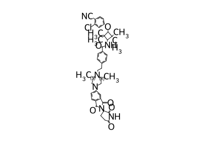 C[C@@H]1CN(c2ccc3c(c2)C(=O)N(C2CCC(=O)NC2=O)C3=O)C[C@H](C)N1CCc1ccc(C(=O)NC2C(C)(C)C(Oc3ccc(C#N)c(Cl)c3)C2(C)C)cc1